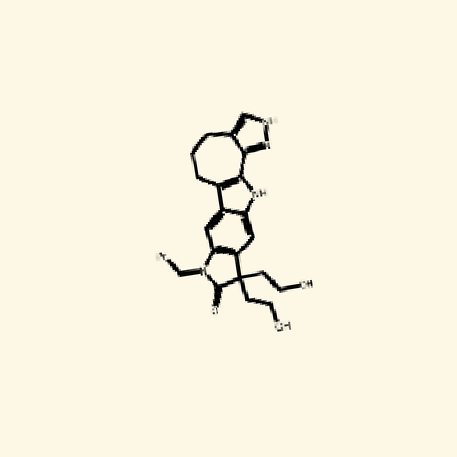 CC(C)CN1C(=O)C(CCO)(CCO)c2cc3[nH]c4c(c3cc21)CCCc1c[nH]nc1-4